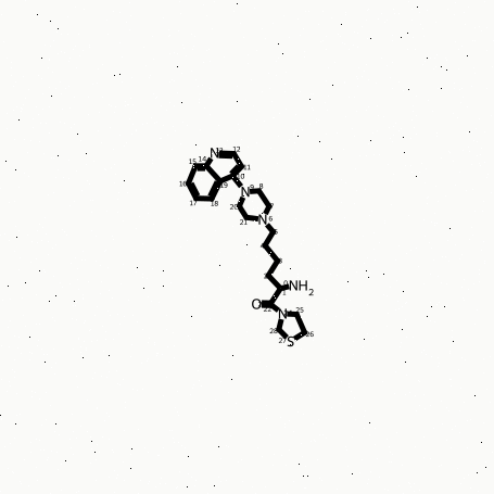 NC(CCCCN1CCN(c2ccnc3ccccc23)CC1)C(=O)N1CCSC1